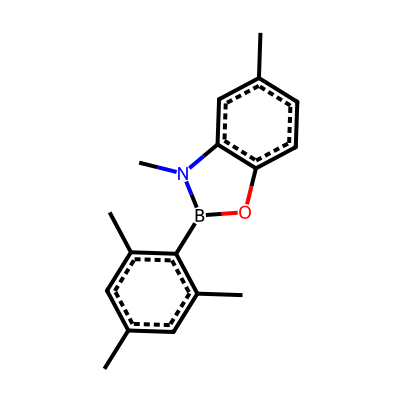 Cc1cc(C)c(B2Oc3ccc(C)cc3N2C)c(C)c1